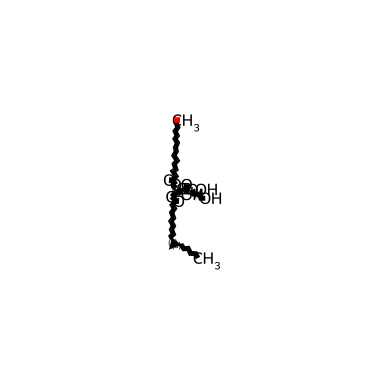 CCCCCCCCCCCCCCCC(=O)OC[C@H](COP(=O)(O)OC[C@@H](O)CO)OC(=O)CCCCCCCCC[C@@H]1C[C@@H]1CCCCCC